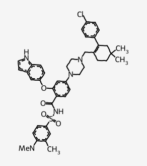 CNc1ccc(S(=O)(=O)NC(=O)c2ccc(N3CCN(CC4=C(c5ccc(Cl)cc5)CC(C)(C)CC4)CC3)cc2Oc2ccc3[nH]ccc3c2)cc1C